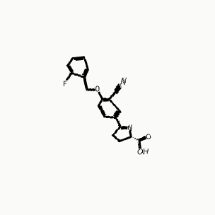 N#Cc1cc(C2=N[C@H](C(=O)O)CC2)ccc1OCc1ccccc1F